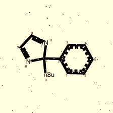 CCCCC1(c2ccccc2)N=CC=N1